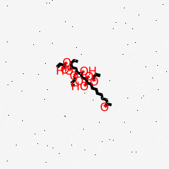 C=CC(=O)OC(CC)C(O)CC(OC(=O)C=C)C(O)CC(OC(=O)C=C)C(O)CCCCCCCC(C)=O